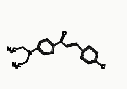 CCN(CC)c1ccc(C(=O)C=Cc2ccc(Cl)cc2)cc1